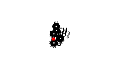 CC1(C)c2ccccc2-c2ccc(N)c(-c3cccc4oc5ccccc5c34)c21